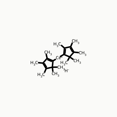 CC1=C(C)C(C)(C)[C]([Ce+][C]2=C(C)C(C)=C(C)C2(C)C)=C1C.[H-]